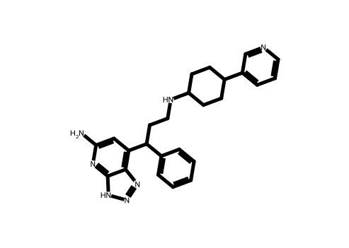 Nc1cc(C(CCNC2CCC(c3cccnc3)CC2)c2ccccc2)c2nn[nH]c2n1